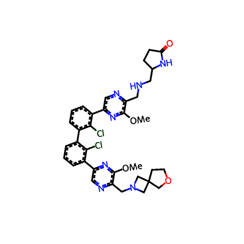 COc1nc(-c2cccc(-c3cccc(-c4cnc(CN5CC6(CCOC6)C5)c(OC)n4)c3Cl)c2Cl)cnc1CNCC1CCC(=O)N1